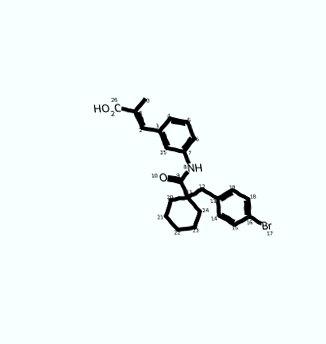 C/C(=C\c1cccc(NC(=O)C2(Cc3ccc(Br)cc3)CCCCC2)c1)C(=O)O